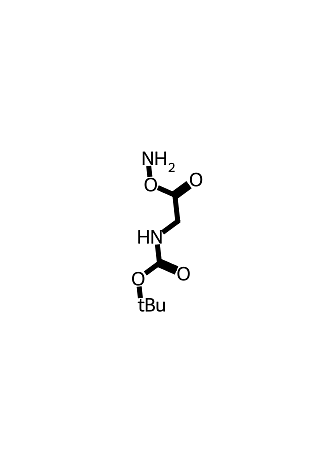 CC(C)(C)OC(=O)NCC(=O)ON